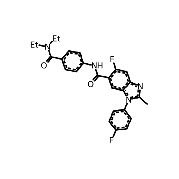 CCN(CC)C(=O)c1ccc(NC(=O)c2cc3c(cc2F)nc(C)n3-c2ccc(F)cc2)cc1